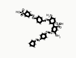 Nc1ccc(-c2cc(N=Nc3ccc(N=Nc4ccccc4)cc3)c(N)cc2S(=O)(=O)O)cc1N=Nc1ccc(N=Nc2ccc(S(=O)(=O)O)cc2)cc1